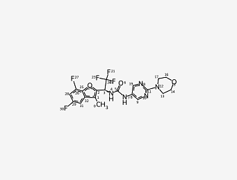 Cc1c([C@H](NC(=O)Nc2cnc(N3CCOCC3)nc2)C(F)(F)F)oc2c(F)cc(F)cc12